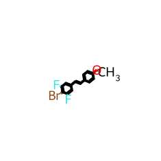 COc1ccc(/C=C/c2cc(F)c(Br)c(F)c2)cc1